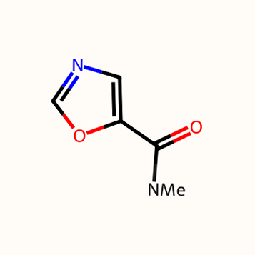 [CH2]NC(=O)c1cnco1